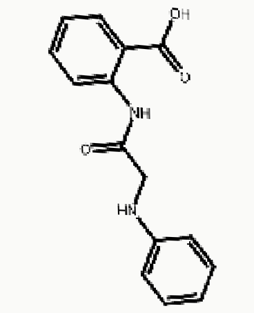 O=C(CNc1ccccc1)Nc1ccccc1C(=O)O